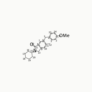 COc1ccc(Cc2cc3c(cc2C)CN(C2CCCCC2)C3=O)cc1